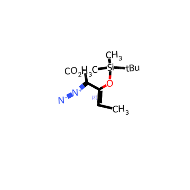 C/C=C(\O[Si](C)(C)C(C)(C)C)C(=[N+]=[N-])C(=O)O